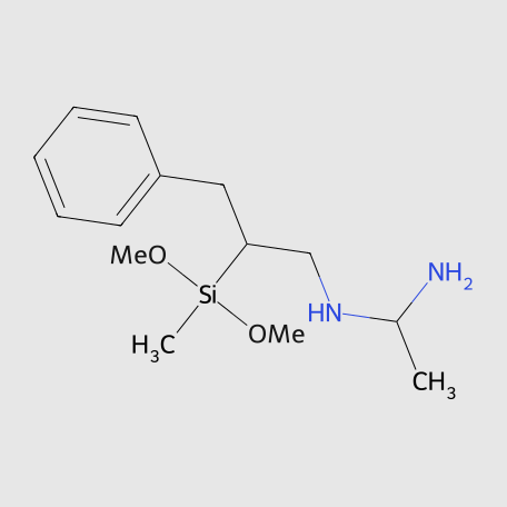 CO[Si](C)(OC)C(CNC(C)N)Cc1ccccc1